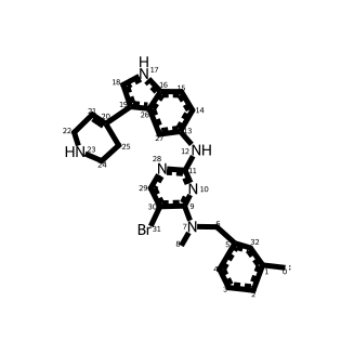 [CH]c1cccc(CN(C)c2nc(Nc3ccc4[nH]cc(C5=CCNCC5)c4c3)ncc2Br)c1